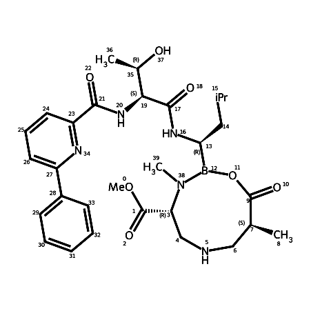 COC(=O)[C@H]1CNC[C@H](C)C(=O)OB([C@H](CC(C)C)NC(=O)[C@@H](NC(=O)c2cccc(-c3ccccc3)n2)[C@@H](C)O)N1C